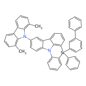 Cc1cccc2c3cccc(C)c3n(-c3ccc4c(c3)c3cccc5c3n4-c3ccccc3[Si]5(c3ccccc3)c3cccc(-c4ccccc4)c3)c12